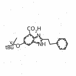 CC(C)(C)[Si](C)(C)Oc1cc(C(=O)O)c2nc(CCc3ccccc3)[nH]c2c1